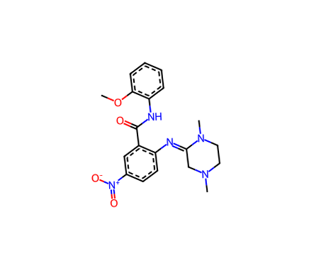 COc1ccccc1NC(=O)c1cc([N+](=O)[O-])ccc1N=C1CN(C)CCN1C